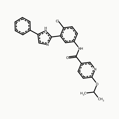 CC(C)Oc1ccc(C(=O)Nc2ccc(Cl)c(-c3ncc(-c4ccccc4)[nH]3)c2)cn1